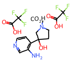 Nc1cnccc1C1(O)CCN(C(=O)O)C1.O=C(O)C(F)(F)F.O=C(O)C(F)(F)F